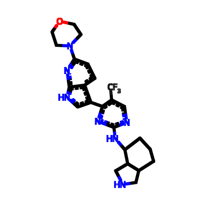 FC(F)(F)c1cnc(NC2CCCC3CNCC32)nc1-c1c[nH]c2nc(N3CCOCC3)ccc12